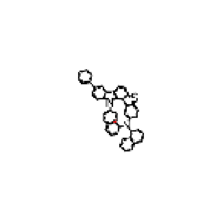 c1ccc(-c2ccc3c(c2)c2ccc4sc5ccc(N(c6ccccc6)c6cccc7ccccc67)cc5c4c2n3-c2ccccc2)cc1